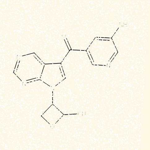 CC1OCC1n1cc(C(=O)c2cncc(N)c2)c2cncnc21